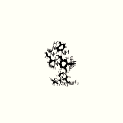 Cc1ccc(NC(=O)c2ccc(CN3CCN(C(=O)OC(C)(C)C)C(C(N)=O)C3)c(C(F)(F)F)c2)cc1Nc1nccc(-c2cncnc2)n1